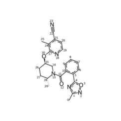 Cc1noc(-c2ccccc2C(=O)N2C[C@H](Oc3nccc(C#N)c3C)CC[C@H]2C)n1